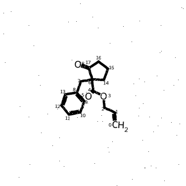 C=CCOC(=O)C1(Cc2ccccc2)CCCC1=O